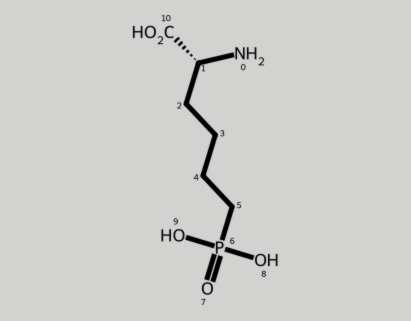 N[C@H](CCCCP(=O)(O)O)C(=O)O